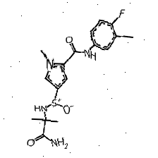 Cc1cc(NC(=O)c2cc([S+]([O-])NC(C)(C)C(N)=O)cn2C)ccc1F